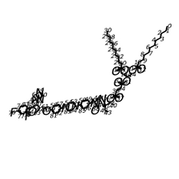 CCCCCCCCCCCC(=O)OCC(COC(=O)CCCCCCCCCCC)OC(=O)/C=C/C(=O)O[C@@H](C)C(CC)n1ncn(-c2ccc(N3CCN(c4ccc(OC[C@@H]5CO[C@@](Cn6cncn6)(c6ccc(F)cc6F)C5)cc4)CC3)cc2)c1=O